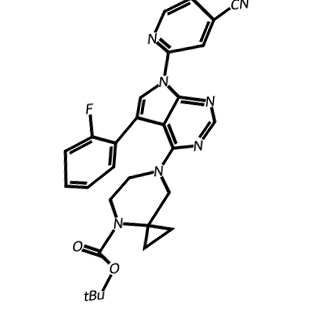 CC(C)(C)OC(=O)N1CCN(c2ncnc3c2c(-c2ccccc2F)cn3-c2cc(C#N)ccn2)CC12CC2